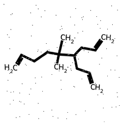 [CH2]C([CH2])([CH]CC=C)[C](CC=C)CC=C